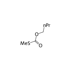 CCCCOC(=O)SC